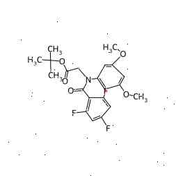 COc1cc(OC)cc(N(CC(=O)OC(C)(C)C)C(=O)c2c(F)cc(F)cc2F)c1